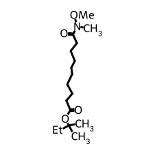 CCC(C)(C)OC(=O)CCCCCCCCC(=O)N(C)OC